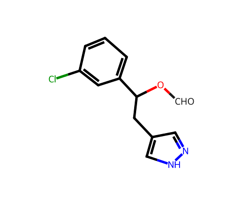 O=COC(Cc1cn[nH]c1)c1cccc(Cl)c1